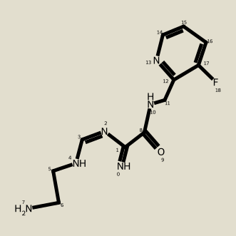 N=C(/N=C\NCCN)C(=O)NCc1ncccc1F